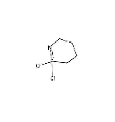 ClP1(Cl)=NCCCC1